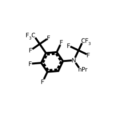 CCCN(c1cc(F)c(F)c(C(F)(F)C(F)(F)F)c1F)C(F)(F)C(F)(F)F